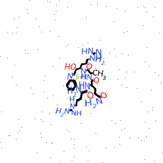 CC(NC(=O)C(CCC(N)=O)NC(=O)C(N)CCCNC(=N)N)C(=O)NC(CCCNC(=N)N)C(O)c1nc2ccccc2s1